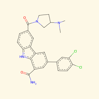 CN(C)C1CCN(C(=O)c2ccc3[nH]c4c(C(N)=O)cc(-c5ccc(Cl)c(Cl)c5)cc4c3c2)C1